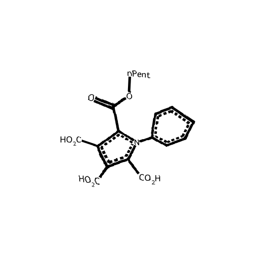 CCCCCOC(=O)c1c(C(=O)O)c(C(=O)O)c(C(=O)O)n1-c1ccccc1